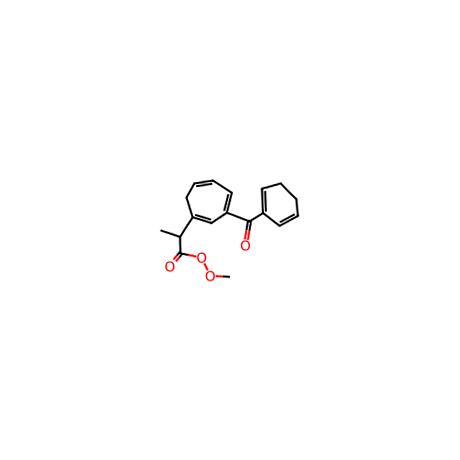 COOC(=O)C(C)C1=CC(C(=O)C2=CCCC=C2)=CC=CC1